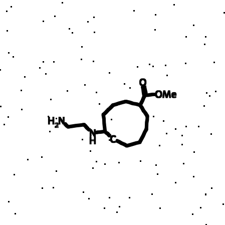 COC(=O)C1CCCCCC(NCCN)CCC1